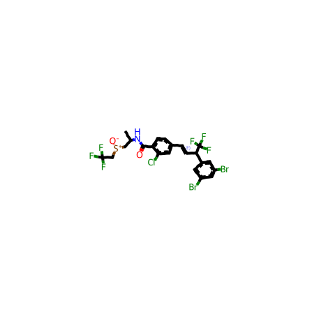 CC(C[S+]([O-])CC(F)(F)F)NC(=O)c1ccc(/C=C/C(c2cc(Br)cc(Br)c2)C(F)(F)F)cc1Cl